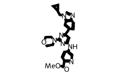 COC(=O)c1ccc(Nc2cc(-c3ccc4ncn(CC5CC5)c4c3)nc(N3CCOCC3)n2)cn1